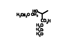 CC(O)C(=O)O.O.O.O.O.O.[CaH2]